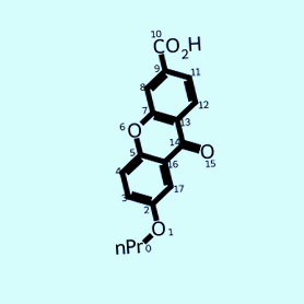 CCCOc1ccc2oc3cc(C(=O)O)ccc3c(=O)c2c1